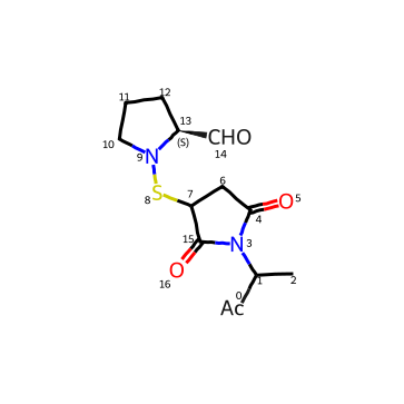 CC(=O)C(C)N1C(=O)CC(SN2CCC[C@H]2C=O)C1=O